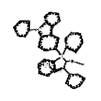 N/C=C(/c1ccccc1)C(NI)S(c1ccccc1)(c1ccccc1)c1ccc2c(c1)c1ccccc1n2-c1ccccc1